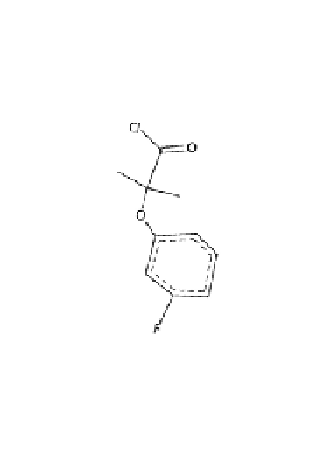 CC(C)(Oc1cccc(F)c1)C(=O)Cl